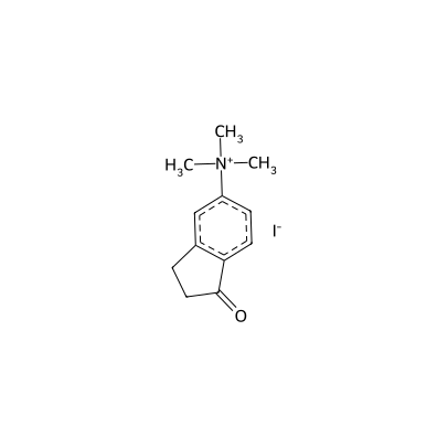 C[N+](C)(C)c1ccc2c(c1)CCC2=O.[I-]